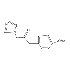 COc1ccc(CC(=O)Cn2cncn2)cc1